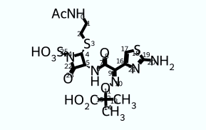 CC(=O)NCCS[C@@H]1[C@H](NC(=O)/C(=N\OC(C)(C)C(=O)O)c2csc(N)n2)C(=O)N1S(=O)(=O)O